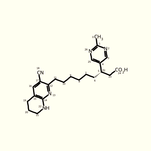 Cc1ncc([C@@H](CCCCCCc2nc3c(cc2C#N)CCCN3)CC(=O)O)cn1